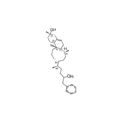 C[C@H](CCC(O)Cc1ccccc1)[C@@H]1CCC[C@H]2[C@@H](CC=C3C[C@@](C)(O)CC[C@@]32C)[C@@H](C)CC1